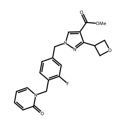 COC(=O)c1cn(Cc2ccc(Cn3ccccc3=O)c(F)c2)nc1C1COC1